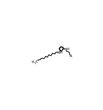 CCCCCCCCCCCCNc1cccc(NCCC#N)c1